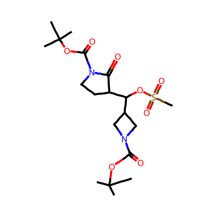 CC(C)(C)OC(=O)N1CC(C(OS(C)(=O)=O)C2CCN(C(=O)OC(C)(C)C)C2=O)C1